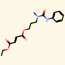 CCOC(=O)/C=C/C(=O)OCCCN(C)C(=O)Nc1ccccc1